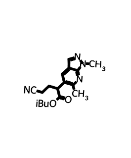 Cc1nc2c(cnn2C)cc1C(CCC#N)C(=O)OCC(C)C